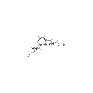 CCCNCc1cccc(CNCCC)n1